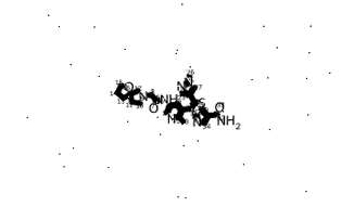 Cc1ncc(NC(=O)CN2CCC3(CCCO3)C2)cc1-c1c(-c2cnn(C)c2)sc2c(C(N)=O)cnn12